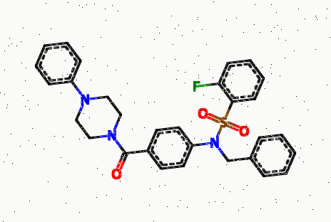 O=C(c1ccc(N(Cc2ccccc2)S(=O)(=O)c2ccccc2F)cc1)N1CCN(c2ccccc2)CC1